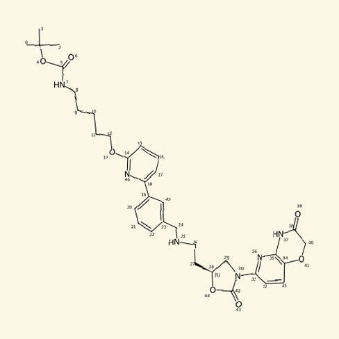 CC(C)(C)OC(=O)NCCCCCOc1cccc(-c2cccc(CNCC[C@H]3CN(c4ccc5c(n4)NC(=O)CO5)C(=O)O3)c2)n1